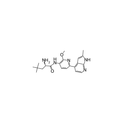 COc1nc(-c2ccnc3[nH]c(C)cc23)ccc1NC(=O)[C@H](N)CC(C)(C)C